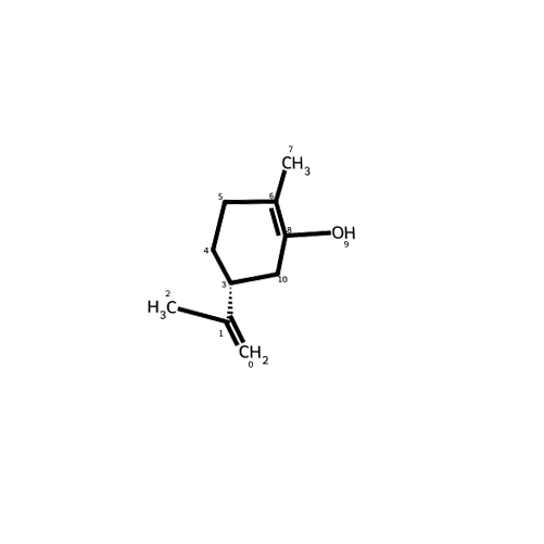 C=C(C)[C@@H]1CCC(C)=C(O)C1